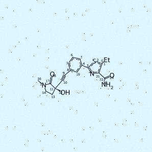 CCc1sc(-c2cccc(C#C[C@]3(O)CCN(C)C3=O)c2)nc1C(N)=O